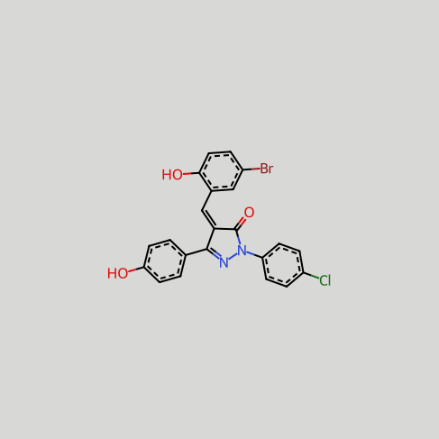 O=C1C(=Cc2cc(Br)ccc2O)C(c2ccc(O)cc2)=NN1c1ccc(Cl)cc1